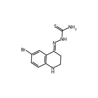 NC(=S)N/N=C1\CCNc2ccc(Br)cc21